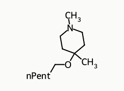 CCCCCCOC1(C)CCN(C)CC1